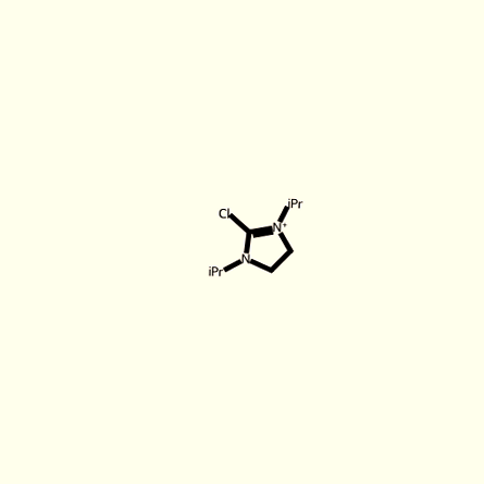 CC(C)N1CC[N+](C(C)C)=C1Cl